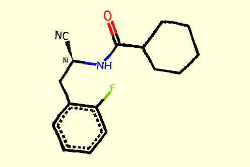 N#C[C@H](Cc1ccccc1F)NC(=O)C1CCCCC1